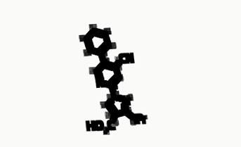 CC(C)c1nn(-c2cc(C#N)c(-c3ccccc3)cn2)cc1C(=O)O